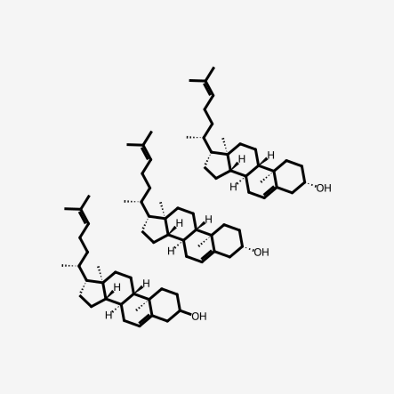 CC(C)=CCC[C@@H](C)[C@H]1CC[C@H]2[C@@H]3CC=C4CC(O)CC[C@]4(C)[C@H]3CC[C@]12C.CC(C)=CCC[C@@H](C)[C@H]1CC[C@H]2[C@@H]3CC=C4C[C@@H](O)CC[C@]4(C)[C@H]3CC[C@]12C.CC(C)=CCC[C@@H](C)[C@H]1CC[C@H]2[C@@H]3CC=C4C[C@@H](O)CC[C@]4(C)[C@H]3CC[C@]12C